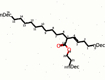 CCCCCCCCCCCCC=CC(CCCCCCCCCCCCCCCCCCCC)C(=O)OCCCCCCCCCCCC